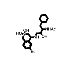 CCc1ccc2c(c1)C(NCC(O)C(CC1CCCCC1)NC(C)=O)CS(O)(O)C2